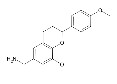 COc1ccc(C2CCc3cc(CN)cc(OC)c3O2)cc1